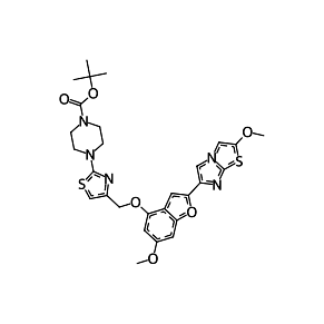 COc1cc(OCc2csc(N3CCN(C(=O)OC(C)(C)C)CC3)n2)c2cc(-c3cn4cc(OC)sc4n3)oc2c1